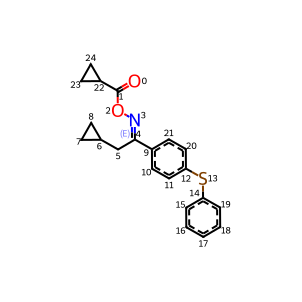 O=C(O/N=C(\CC1CC1)c1ccc(Sc2ccccc2)cc1)C1CC1